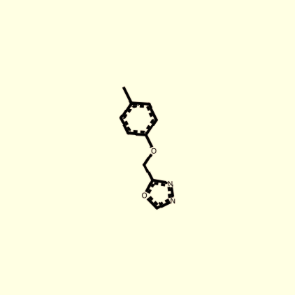 Cc1ccc(OCc2nnco2)cc1